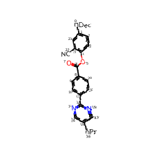 CCCCCCCCCCc1ccc(OC(=O)c2ccc(-c3ncc(CCC)cn3)cc2)c(C#N)c1